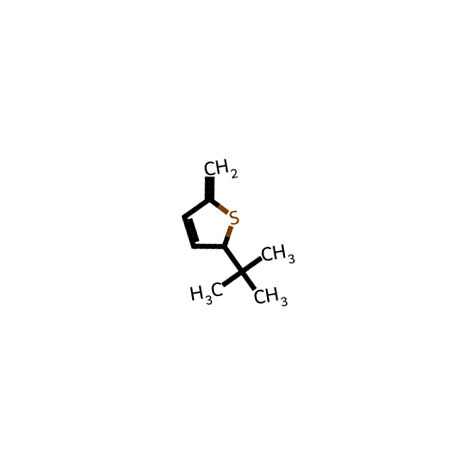 C=C1C=CC(C(C)(C)C)S1